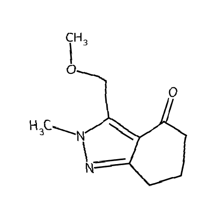 COCc1c2c(nn1C)CCCC2=O